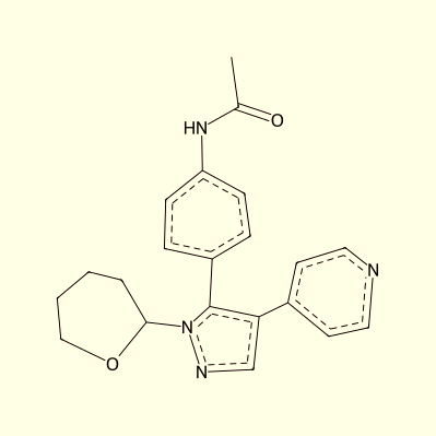 CC(=O)Nc1ccc(-c2c(-c3ccncc3)cnn2C2CCCCO2)cc1